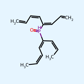 C=C/C=C\C(=C/C=C)[PH](=O)C(/C=C\C)=C/C=C\C